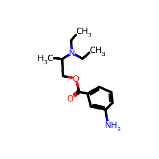 CCN(CC)C(C)COC(=O)c1cccc(N)c1